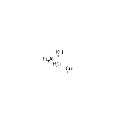 Cl.[AlH3].[Cu].[KH]